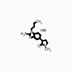 Br.C=CCCn1c(N)nc2cc(C3CCN(C)C3=O)ccc21